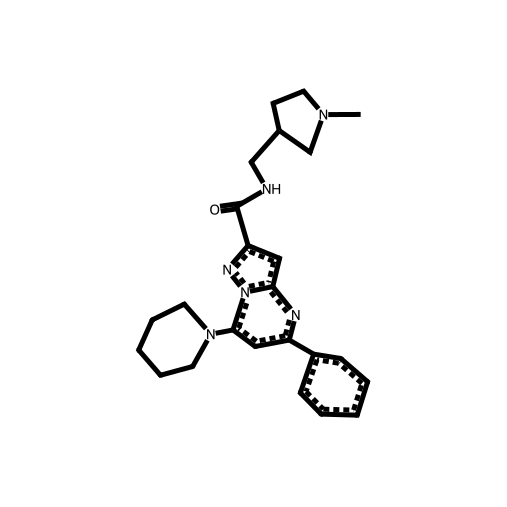 CN1CCC(CNC(=O)c2cc3nc(-c4ccccc4)cc(N4CCCCC4)n3n2)C1